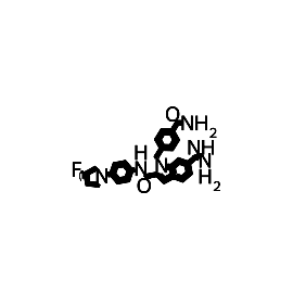 N=C(N)c1ccc2cc(C(=O)Nc3ccc(N4CC[C@@H](F)C4)cc3)n(Cc3ccc(C(N)=O)cc3)c2c1